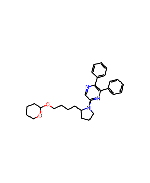 c1ccc(-c2ncc(N3CCCC3CCCCOC3CCCCO3)nc2-c2ccccc2)cc1